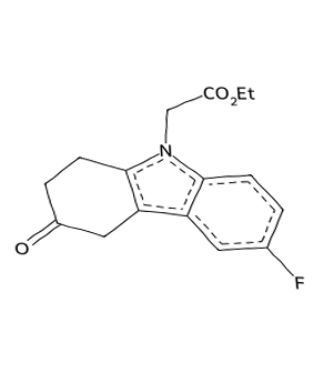 CCOC(=O)Cn1c2c(c3cc(F)ccc31)CC(=O)CC2